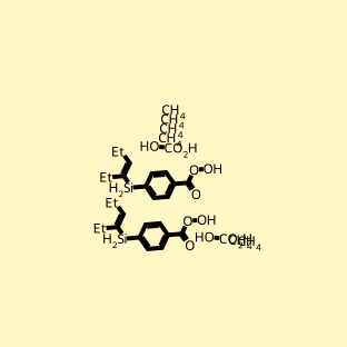 C.C.C.C.C.C.CCC=C(CC)[SiH2]c1ccc(C(=O)OO)cc1.CCC=C(CC)[SiH2]c1ccc(C(=O)OO)cc1.O=C(O)O.O=C(O)O